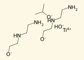 CC(C)[O-].NCCNCC[O-].NCCNCC[O-].[OH-].[Ti+4]